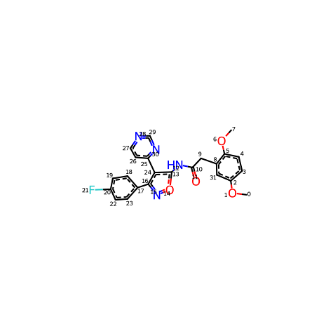 COc1ccc(OC)c(CC(=O)Nc2onc(-c3ccc(F)cc3)c2-c2ccncn2)c1